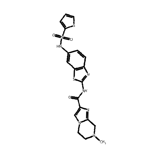 CN1CCn2cc(C(=O)Nc3nc4ccc(NS(=O)(=O)c5cccs5)cc4s3)nc2C1